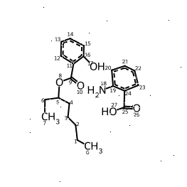 CCCCCC(CC)OC(=O)c1ccccc1O.Nc1ccccc1C(=O)O